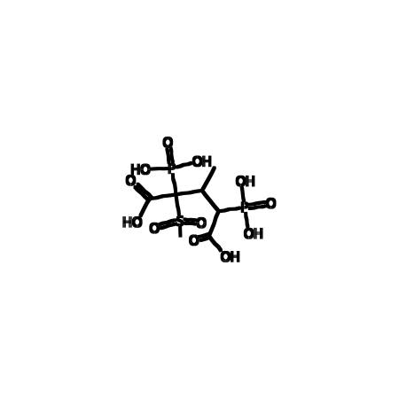 CC(C(C(=O)O)P(=O)(O)O)C(C(=O)O)(P(=O)(O)O)S(C)(=O)=O